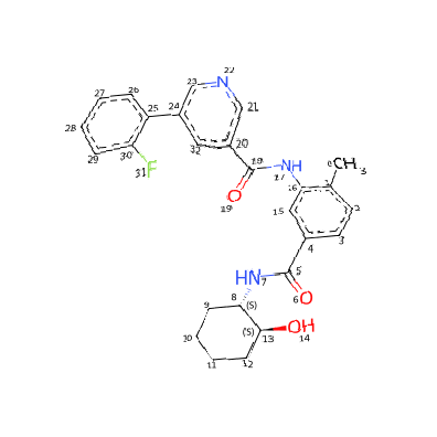 Cc1ccc(C(=O)N[C@H]2CCCC[C@@H]2O)cc1NC(=O)c1cncc(-c2ccccc2F)c1